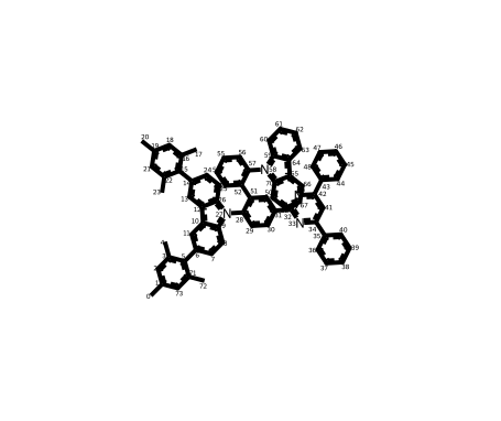 Cc1cc(C)c(-c2ccc3c(c2)c2cc(-c4c(C)cc(C)cc4C)ccc2n3-c2ccc(-c3nc(-c4ccccc4)cc(-c4ccccc4)n3)cc2-c2ccccc2-n2c3ccccc3c3ccccc32)c(C)c1